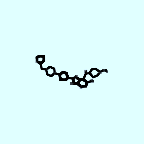 CN1CCC(Nc2c(Br)cnc3[nH]c(-c4ccc(N5CCN(Cc6ccccn6)CC5)cc4)nc23)CC1